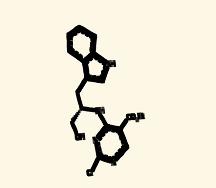 CCOC(=O)c1cnc(Cl)nc1N[C@H](CO)Cc1c[nH]c2ccccc12